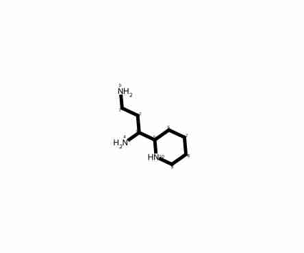 NCCC(N)C1CCCCN1